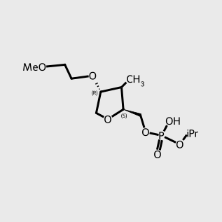 COCCO[C@H]1CO[C@H](COP(=O)(O)OC(C)C)C1C